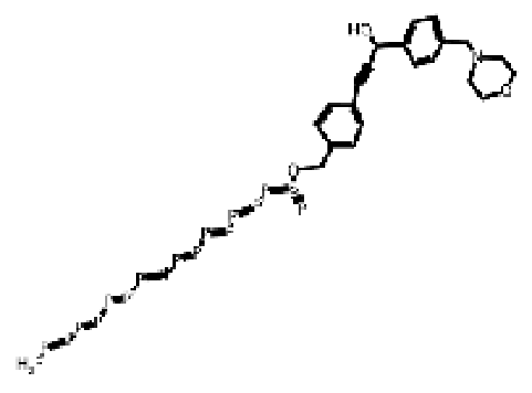 OC(C#Cc1ccc(COS(#P)=PP=PP=PP=PP=PP=PP=PP=PP)cc1)c1ccc(CN2CCOCC2)cc1